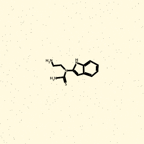 NCCN(C(N)=S)c1cc2ccccc2[nH]1